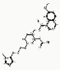 COc1ccc2nccc([C@@H](F)CC[C@@H]3CCN(CCCCc4cccn4C)C[C@@H]3CC(=O)O)c2c1